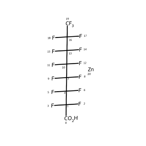 O=C(O)C(F)(F)C(F)(F)C(F)(F)C(F)(F)C(F)(F)C(F)(F)C(F)(F)F.[Zn]